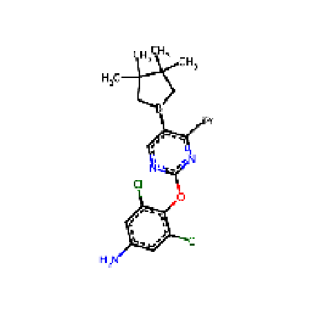 CC(C)c1nc(Oc2c(Cl)cc(N)cc2Cl)ncc1B1CC(C)(C)C(C)(C)C1